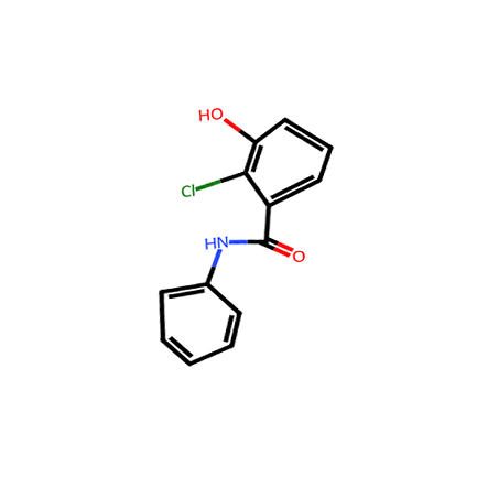 O=C(Nc1ccccc1)c1cccc(O)c1Cl